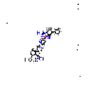 CCN(C(=O)O)C1CC2(CCN(c3ccc(C(=O)Nc4cc(-c5ccccc5)ccc4N)cn3)CC2)c2ccccc21